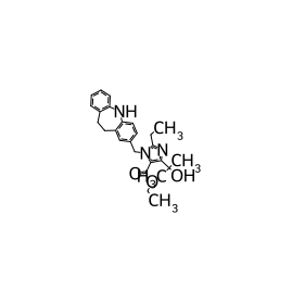 CCOC(=O)c1c(C(C)(C)O)nc(CC)n1Cc1ccc2c(c1)CCc1ccccc1N2